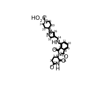 O=C1CCC(N2C(=O)c3cccc(NCc4cnn(C5CCN(C(=O)O)CC5)c4)c3C2=O)C(=O)N1